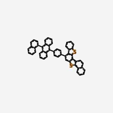 c1ccc2c(-c3c4ccccc4c(-c4ccc(-c5cc6sc7c8ccccc8ccc7c6c6sc7ccccc7c56)cc4)c4ccccc34)cccc2c1